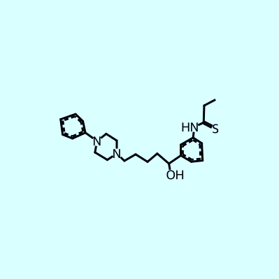 CCC(=S)Nc1cccc(C(O)CCCCN2CCN(c3ccccc3)CC2)c1